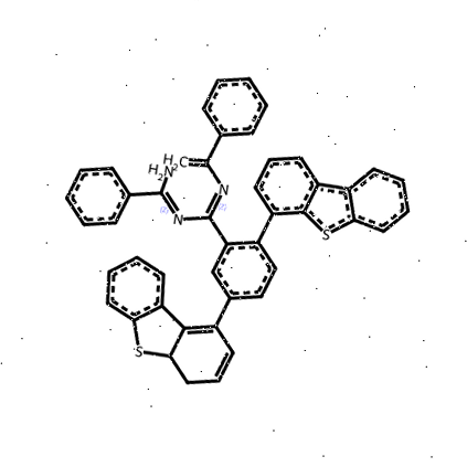 C=C(/N=C(\N=C(/N)c1ccccc1)c1cc(C2=C3c4ccccc4SC3CC=C2)ccc1-c1cccc2c1sc1ccccc12)c1ccccc1